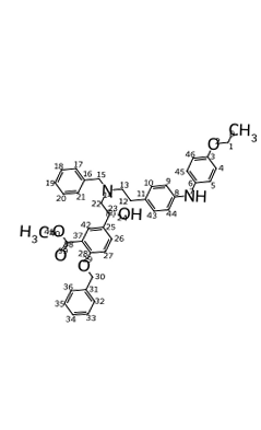 CCOc1ccc(Nc2ccc(CCN(Cc3ccccc3)C[C@H](O)c3ccc(OCc4ccccc4)c(C(=O)OC)c3)cc2)cc1